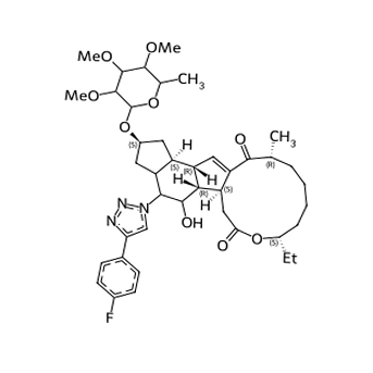 CC[C@H]1CCCC[C@@H](C)C(=O)C2=C[C@@H]3[C@@H](C(O)C(n4cc(-c5ccc(F)cc5)nn4)C4C[C@@H](OC5OC(C)C(OC)C(OC)C5OC)C[C@H]43)[C@@H]2CC(=O)O1